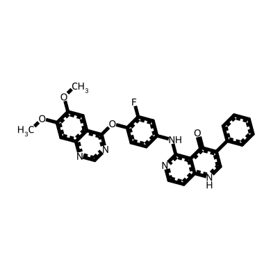 COc1cc2ncnc(Oc3ccc(Nc4nccc5[nH]cc(-c6ccccc6)c(=O)c45)cc3F)c2cc1OC